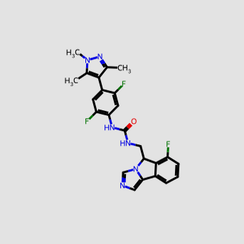 Cc1nn(C)c(C)c1-c1cc(F)c(NC(=O)NCC2c3c(F)cccc3-c3cncn32)cc1F